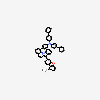 CC1CC=Cc2oc3cc(-c4c5ccccc5n5c4ccc4cccc(-c6ccc(N(c7ccc(-c8ccccc8)cc7)c7ccc(-c8ccccc8)cc7)cc6)c45)ccc3c21